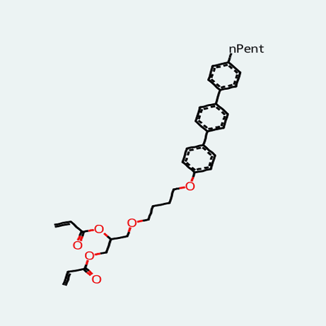 C=CC(=O)OCC(COCCCCOc1ccc(-c2ccc(-c3ccc(CCCCC)cc3)cc2)cc1)OC(=O)C=C